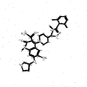 CC1=CC=CC(C)C1C1=NOC(C2CCN(c3c(C(N)=O)c(=O)n(C)c4cc(OC5CCOC5)c(C#N)cc34)CC2)N1C